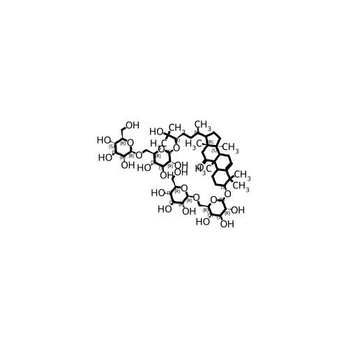 C[C@H](CC[C@@H](O[C@@H]1O[C@H](CO[C@@H]2O[C@H](CO)[C@@H](O)[C@H](O)[C@H]2O)[C@@H](O)[C@H](O)[C@H]1O)C(C)(C)O)C1CC[C@@]2(C)C3CC=C4C(CC[C@H](O[C@@H]5O[C@H](CO[C@@H]6O[C@H](CO)[C@@H](O)[C@H](O)[C@H]6O)[C@@H](O)[C@H](O)[C@H]5O)C4(C)C)C3(C)C(=O)C[C@]12C